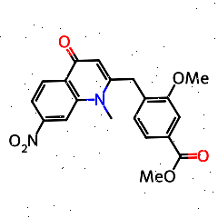 COC(=O)c1ccc(Cc2cc(=O)c3ccc([N+](=O)[O-])cc3n2C)c(OC)c1